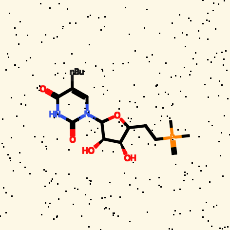 C=P(C)(C)CCC1OC(n2cc(CCCC)c(=O)[nH]c2=O)[C@H](O)[C@@H]1O